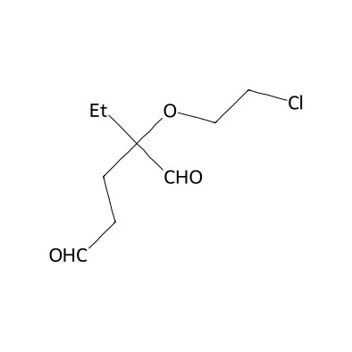 CCC(C=O)(CCC=O)OCCCl